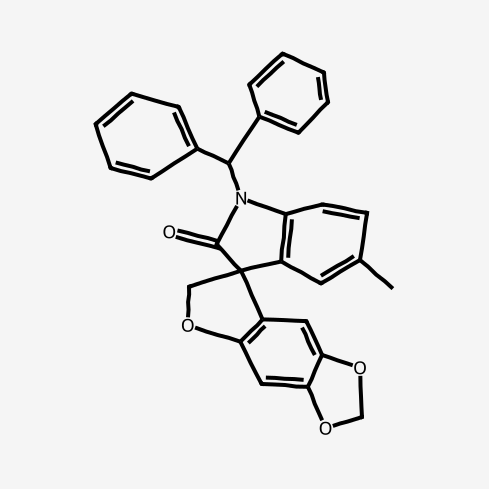 Cc1ccc2c(c1)C1(COc3cc4c(cc31)OCO4)C(=O)N2C(c1ccccc1)c1ccccc1